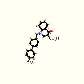 COc1ccc(-c2ccc(Cn3cc(C(=O)O)c(=O)c4ccccc43)cc2)cc1